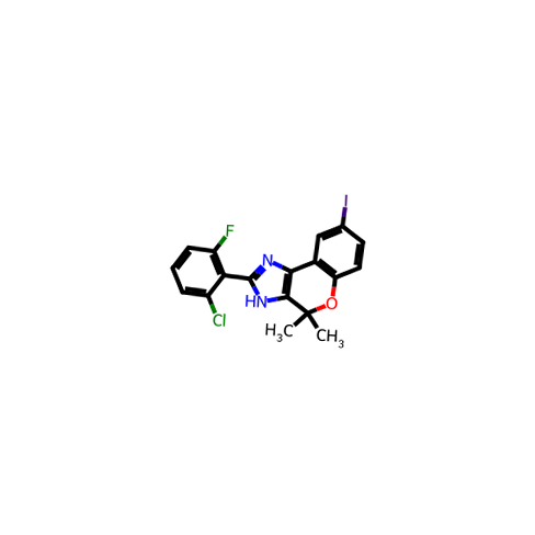 CC1(C)Oc2ccc(I)cc2-c2nc(-c3c(F)cccc3Cl)[nH]c21